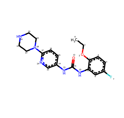 CCOc1ccc(F)cc1NC(=O)Nc1ccc(N2CCNCC2)nc1